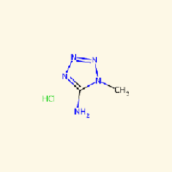 Cl.Cn1nnnc1N